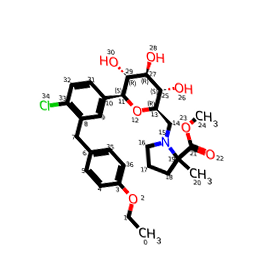 CCOc1ccc(Cc2cc([C@@H]3O[C@H](CN4CCCC4(C)C(=O)OC)[C@@H](O)[C@H](O)[C@H]3O)ccc2Cl)cc1